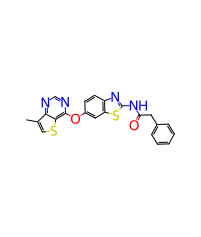 Cc1csc2c(Oc3ccc4nc(NC(=O)Cc5ccccc5)sc4c3)ncnc12